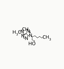 CCCCCC(CCO)n1cnc2c(N(C)C)ncnc21